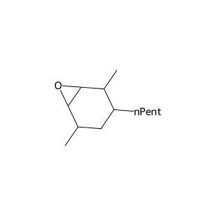 [CH2]CCCCC1CC(C)C2OC2C1C